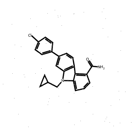 NC(=O)c1cccc2c1c1[c]cc(-c3ccc(Cl)cc3)cc1n2CC1CC1